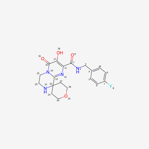 O=C(NCc1ccc(F)cc1)c1nc2n(c(=O)c1O)CCNC21CCOCC1